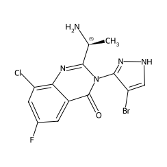 C[C@H](N)c1nc2c(Cl)cc(F)cc2c(=O)n1-c1n[nH]cc1Br